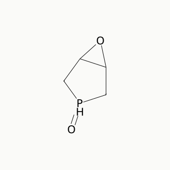 O=[PH]1CC2OC2C1